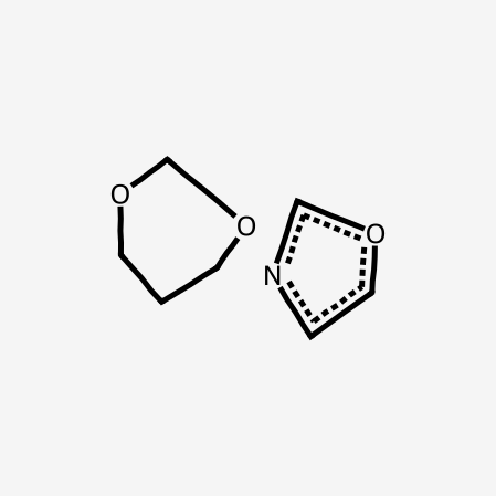 C1COCOC1.c1cocn1